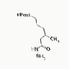 CCCCCCCCC(C)CC(=O)NN